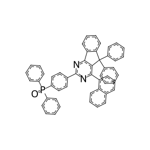 O=P(c1ccccc1)(c1ccccc1)c1ccc(-c2nc3c(c(-c4cccc5ccccc45)n2)C(c2ccccc2)(c2ccccc2)c2ccccc2-3)cc1